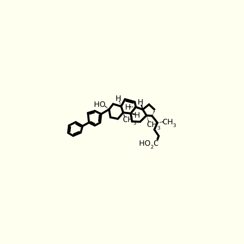 C[C@H](CCC(=O)O)[C@H]1CC[C@H]2[C@@H]3C=C[C@@H]4C[C@](O)(c5ccc(-c6ccccc6)cc5)CC[C@]4(C)[C@H]3CC[C@]12C